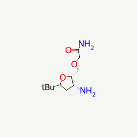 CC(C)(C)C1C[C@@H](N)[C@@H](COCC(N)=O)O1